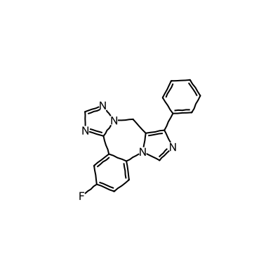 Fc1ccc2c(c1)-c1ncnn1Cc1c(-c3ccccc3)ncn1-2